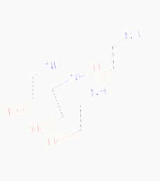 NCCO.NCCO.NCCO.NCCO